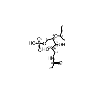 CCC(C)OC(COS(=O)(=O)O)[C@@H](O)[C@@H](O)CNC(C)=O